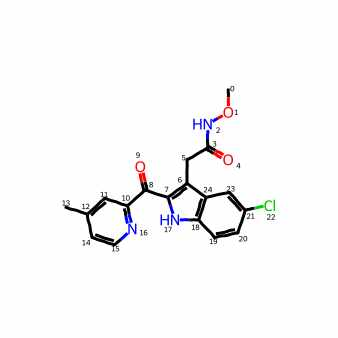 CONC(=O)Cc1c(C(=O)c2cc(C)ccn2)[nH]c2ccc(Cl)cc12